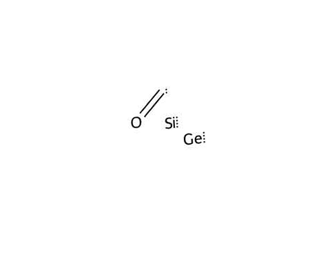 [C]=O.[Ge].[Si]